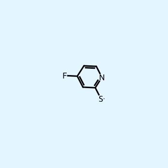 Fc1ccnc([S])c1